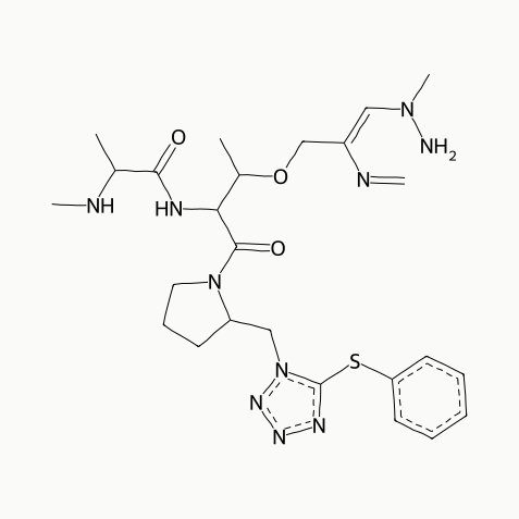 C=N/C(=C\N(C)N)COC(C)C(NC(=O)C(C)NC)C(=O)N1CCCC1Cn1nnnc1Sc1ccccc1